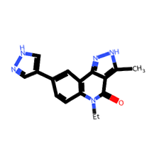 CCn1c(=O)c2c(C)[nH]nc2c2cc(-c3cn[nH]c3)ccc21